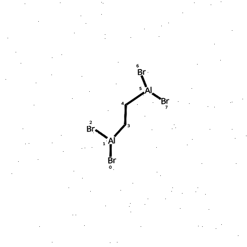 [Br][Al]([Br])[CH2][CH2][Al]([Br])[Br]